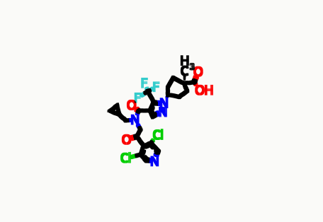 C[C@]1(C(=O)O)CC[C@H](n2ncc(C(=O)N(CC(=O)c3c(Cl)cncc3Cl)CC3CC3)c2C(F)(F)F)CC1